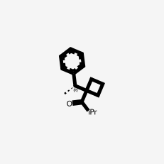 CC(C)C(=O)C1([C@H](C)c2ccccc2)CCC1